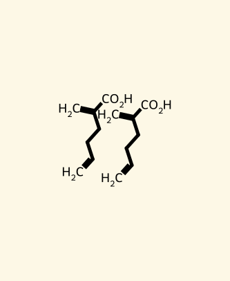 C=CCCC(=C)C(=O)O.C=CCCC(=C)C(=O)O